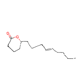 CCCCC=CCCCC1CCCC(=O)O1